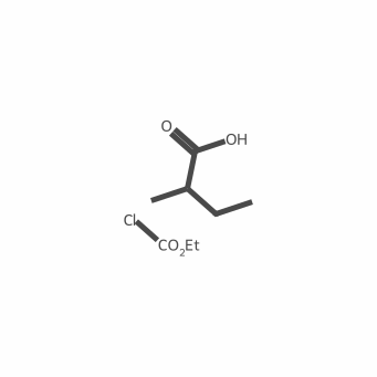 CCC(C)C(=O)O.CCOC(=O)Cl